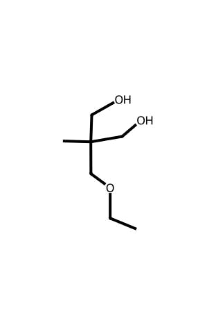 CCOCC(C)(CO)CO